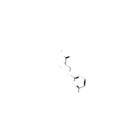 COC(=O)[C@@H](N)CNc1nccc(Cl)n1